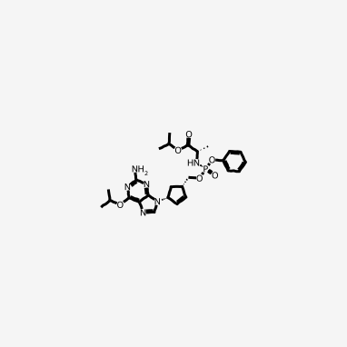 CC(C)OC(=O)[C@H](C)N[P@](=O)(OC[C@@H]1C=C[C@H](n2cnc3c(OC(C)C)nc(N)nc32)C1)Oc1ccccc1